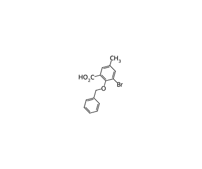 Cc1cc(Br)c(OCc2ccccc2)c(C(=O)O)c1